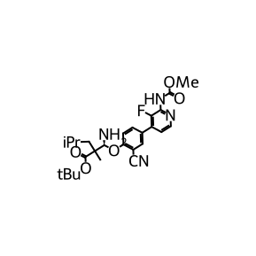 COC(=O)Nc1nccc(-c2ccc(O[C@H](N)C(C)(CC(C)C)C(=O)OC(C)(C)C)c(C#N)c2)c1F